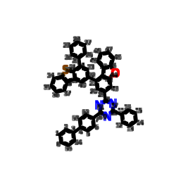 c1ccc(-c2ccc(-c3nc(-c4ccccc4)nc(-c4cc(-c5cc(-c6ccccc6)c6sc7ccccc7c6c5)c5c(c4)oc4ccccc45)n3)cc2)cc1